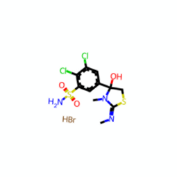 Br.CN=C1SCC(O)(c2cc(Cl)c(Cl)c(S(N)(=O)=O)c2)N1C